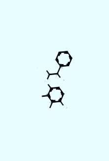 [C-]#[N+]c1ccc(NC(C(=O)O)C(O)c2ccccc2)c(C)c1Cl